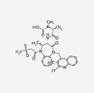 Cc1c(Cl)nc2ccccc2c1CN1C(=O)[C@@H](NC(=O)[C@H](C)N(C)C(=O)O)[C@H](C)N(C(=O)CS(C)(=O)=O)c2ccccc21